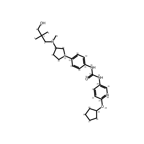 CN(CC(C)(C)CO)C1CCN(c2ccc(NC(=O)Nc3ccc(OC4CCCC4)nc3)cc2)C1